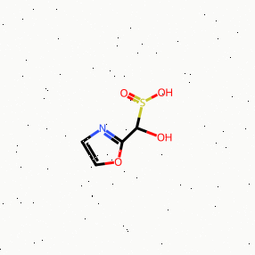 O=S(O)C(O)c1ncco1